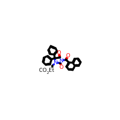 CCOC(=O)CN1C(=O)N(C(=O)c2cccc3ccccc23)C(=O)C1(c1ccccc1)c1ccccc1